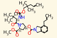 C=CCc1cccc2c1CN(C(=O)O[C@@H]1C[C@@H](C(=O)OC)N(C(=O)[C@@H](NC(=O)OCC(C)(C)CC=C)C(C)(C)C)C1)C2